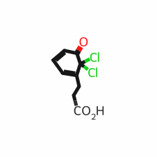 O=C(O)CCC1=CC=CC(=O)C1(Cl)Cl